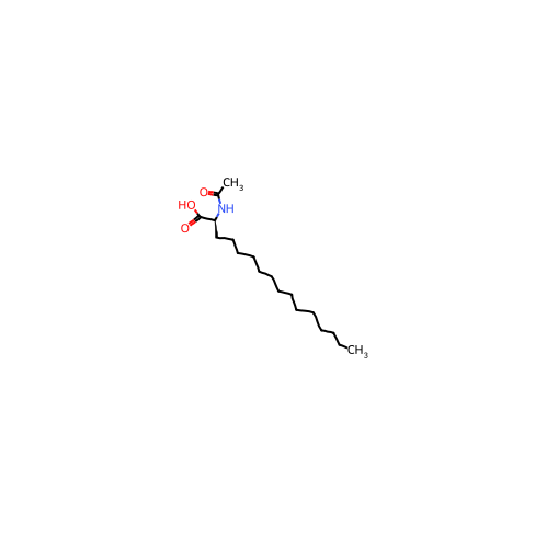 CCCCCCCCCCCCCC[C@H](NC(C)=O)C(=O)O